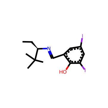 CC[C@@H](/N=C/c1cc(I)cc(I)c1O)C(C)(C)C